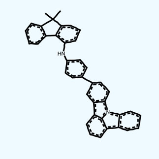 CC1(C)c2ccccc2-c2c(Nc3ccc(-c4ccc5c(c4)c4cccc6c7ccccc7n5c64)cc3)cccc21